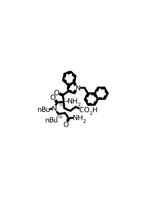 CCCC[C@@H](CC(N)=O)N(CCCC)C(=O)[C@](N)(CCCC(=O)O)C(=O)c1cn(Cc2cccc3ccccc23)c2ccccc12